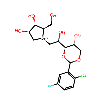 OC[C@@H]1[C@@H](O)[C@H](O)C[Se@+]1C[C@@H](O)[C@H]1OC(c2cc(F)ccc2Cl)OC[C@H]1O